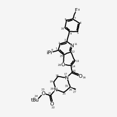 CC(C)c1cc(-c2ccc(F)cc2)nc2cc(C(=O)N3CCN(C(=O)OC(C)(C)C)C[C@@H]3C)oc12